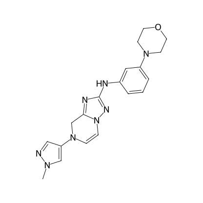 Cn1cc(N2C=Cn3nc(Nc4cccc(N5CCOCC5)c4)nc3C2)cn1